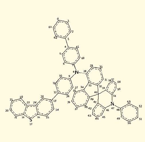 c1ccc(-c2ccc(N(c3ccc(-c4ccc5sc6ccccc6c5c4)cc3)c3cccc4c3-c3ccccc3C43c4ccccc4N(c4ccccc4)c4ccccc43)cc2)cc1